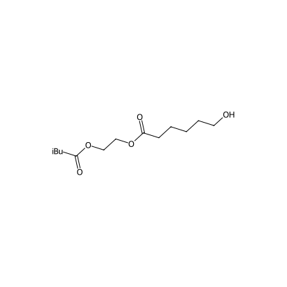 CCC(C)C(=O)OCCOC(=O)CCCCCO